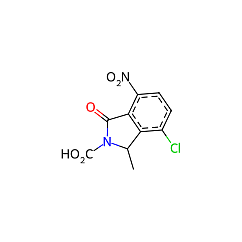 CC1c2c(Cl)ccc([N+](=O)[O-])c2C(=O)N1C(=O)O